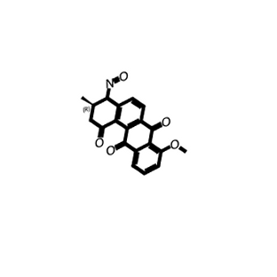 COc1cccc2c1C(=O)c1ccc3c(c1C2=O)C(=O)C[C@@H](C)C3N=O